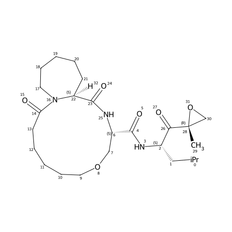 CC(C)C[C@H](NC(=O)[C@@H]1COCCCCCC(=O)N2CCCCC[C@H]2C(=O)N1)C(=O)[C@@]1(C)CO1